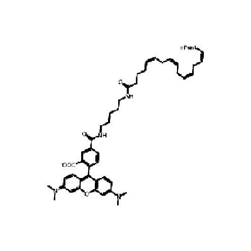 CCCCC/C=C\C/C=C\C/C=C\C/C=C\CCCC(=O)NCCCCCNC(=O)c1ccc(-c2c3ccc(=[N+](C)C)cc-3oc3cc(N(C)C)ccc23)c(C(=O)[O-])c1